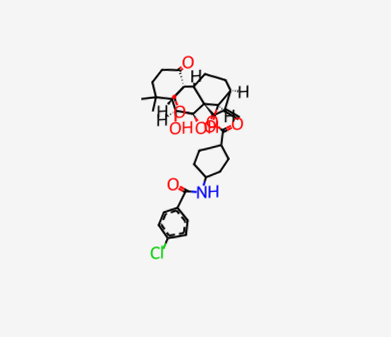 C=C1C(=O)[C@]23[C@H](OC(=O)C4CCC(NC(=O)c5ccc(Cl)cc5)CC4)[C@H]1CC[C@H]2[C@@]12CO[C@]3(O)[C@@H](O)[C@@H]1C(C)(C)CCC2=O